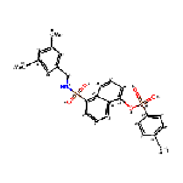 COc1cc(CNS(=O)(=O)c2cccc3c(OS(=O)(=O)c4ccc(C)cc4)cccc23)cc(OC)c1